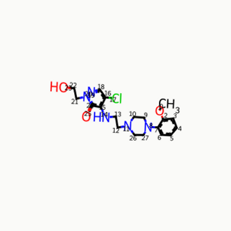 COc1ccccc1N1CCN(CCNc2c(Cl)cnn(CCO)c2=O)CC1